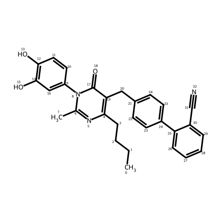 CCCCc1nc(C)n(-c2ccc(O)c(O)c2)c(=O)c1Cc1ccc(-c2ccccc2C#N)cc1